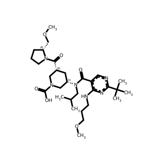 COCCCNc1nc(C(C)(C)C)ncc1C(=O)N(CC(C)C)[C@H]1C[C@@H](C(=O)N2CCC[C@@H]2COC)CN(C(=O)O)C1